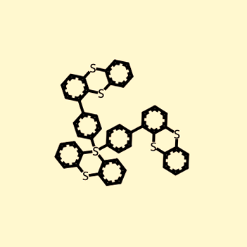 c1ccc2c(c1)Sc1cccc(-c3ccc(S4(c5ccc(-c6cccc7c6Sc6ccccc6S7)cc5)c5ccccc5Sc5ccccc54)cc3)c1S2